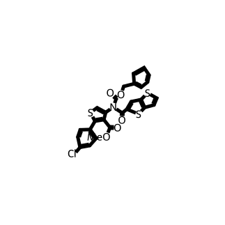 COC(=O)c1c(N(C(=O)OCc2ccccc2)C(=O)c2cc3sccc3s2)csc1-c1ccc(Cl)cc1